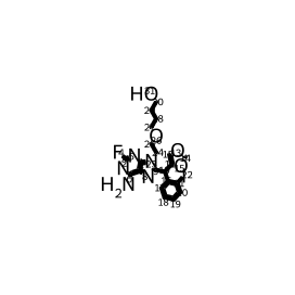 Nc1nc(F)nc2c1nc(C(C1=COCO1)c1ccccc1I)n2CCOCCCCO